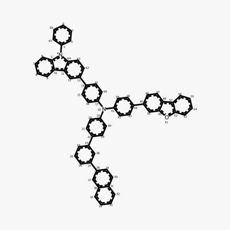 c1ccc(-n2c3ccccc3c3cc(-c4ccc(N(c5ccc(-c6cccc(-c7ccc8ccccc8c7)c6)cc5)c5ccc(-c6ccc7c(c6)oc6ccccc67)cc5)cc4)ccc32)cc1